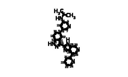 CC(C)Nc1cncc(-c2ccc3[nH]nc(-c4nc5c(-c6ccccn6)cncc5[nH]4)c3c2)c1